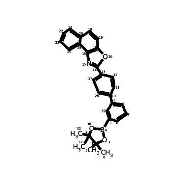 CC1(C)OB(c2cccc(-c3ccc(-c4nc5c(ccc6ccccc65)o4)cc3)c2)OC1(C)C